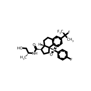 C[C@H](CO)NC(=O)[C@@H]1CC[C@@]2(S(=O)(=O)c3ccc(F)cc3)c3ccc(C(C)(F)C(F)(F)F)cc3CC[C@@H]12